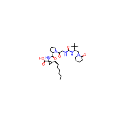 CCCCC/C=C\C1C[C@]1(NC(=O)[C@@H]1CCCN1C(=O)CNC(=O)N[C@H](CN1CCCCC1=O)C(C)(C)C)C(=O)O